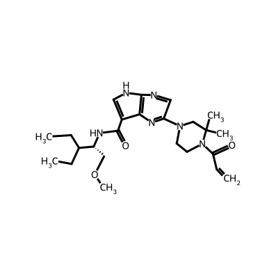 C=CC(=O)N1CCN(c2cnc3[nH]cc(C(=O)N[C@H](COC)C(CC)CC)c3n2)CC1(C)C